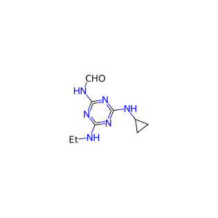 CCNc1nc(NC=O)nc(NC2CC2)n1